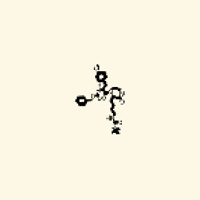 COc1ccc(CC(NC(=O)OCc2ccccc2)C(=O)N2CC[N]C(=O)C2CCCCNC(=O)OC(C)(C)C)cc1